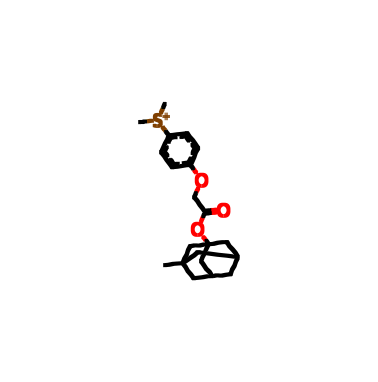 C[S+](C)c1ccc(OCC(=O)OC23CC4CC(CC(C)(C4)C2)C3)cc1